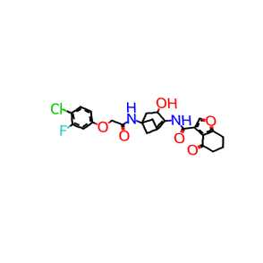 O=C(COc1ccc(Cl)c(F)c1)NC12CC(=C(NC(=O)c3coc4c3C(=O)CCC4)C(O)C1)C2